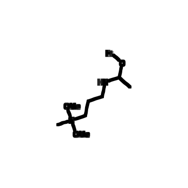 CCOC(C)NCCC[Si](C)(OC)OC